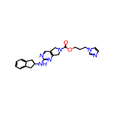 O=C(OCCCn1ccnc1)N1Cc2cnc(NC3Cc4ccccc4C3)nc2C1